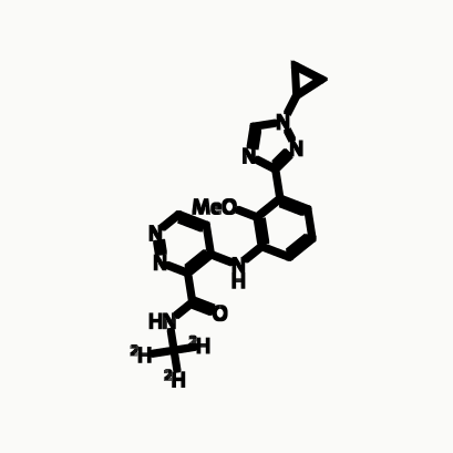 [2H]C([2H])([2H])NC(=O)c1nnccc1Nc1cccc(-c2ncn(C3CC3)n2)c1OC